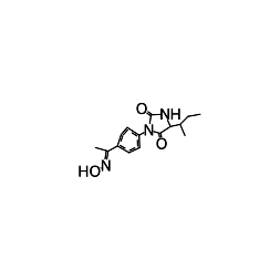 CCC(C)C1NC(=O)N(c2ccc(C(C)=NO)cc2)C1=O